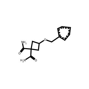 NC(=O)C1(C(N)=O)CC(OCc2ccccc2)C1